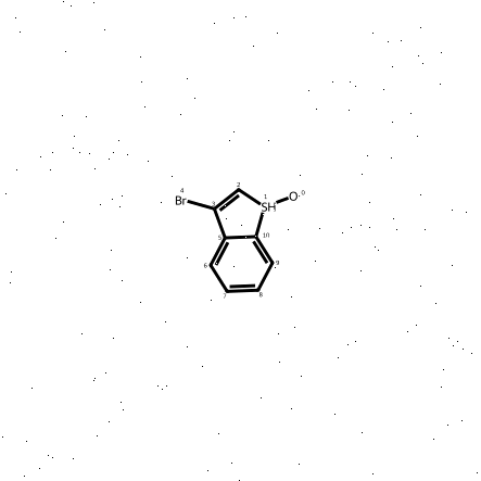 [O][SH]1C=C(Br)c2ccccc21